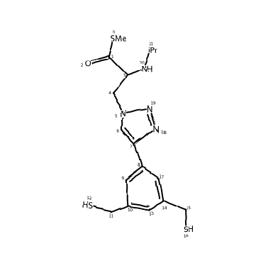 CSC(=O)C(Cn1cc(-c2cc(CS)cc(CS)c2)nn1)NC(C)C